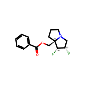 O=C(OC[C@@]12CCCN1C[C@H](F)[C@@H]2F)c1ccccc1